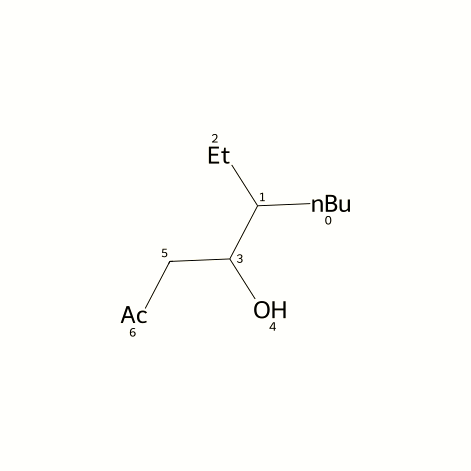 CCCCC(CC)C(O)CC(C)=O